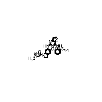 COc1cc2c(cc1Nc1nc(Nc3ccccc3SC(C)C)c3sccc3n1)N(C(=O)CN(C)C)CC2